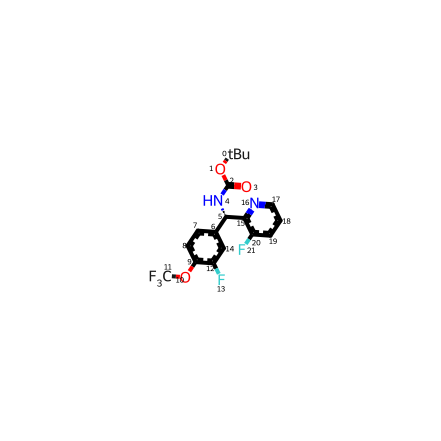 CC(C)(C)OC(=O)N[C@@H](c1ccc(OC(F)(F)F)c(F)c1)c1ncccc1F